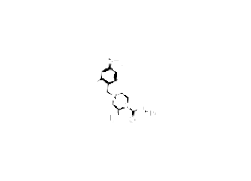 C[C@H]1CN(Cc2ccc(N)cc2F)CCN1C(=O)OC(C)(C)C